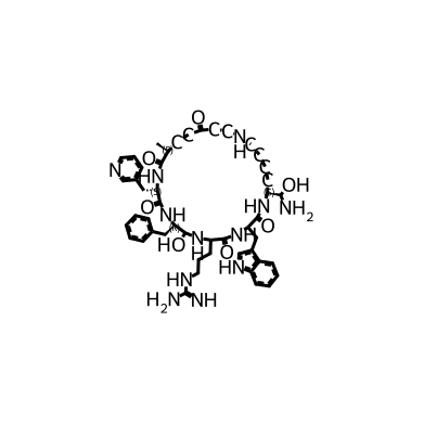 C[C@H]1CCC(=O)CCNCCCC[C@@H](C(N)O)NC(=O)C(Cc2c[nH]c3ccccc23)NC(=O)C(CCCNC(=N)N)NC(O)[C@@H](Cc2ccccc2)NC(=O)[C@H](Cc2cccnc2)NC1=O